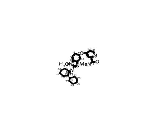 CNC(=O)c1cc(Oc2ccc3c(c2)nc(NC2CCCC[C@@H]2C2CCCCC2)n3C)ccn1